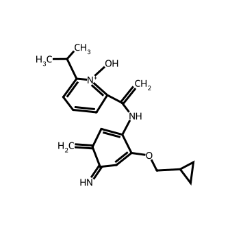 C=C1C=C(NC(=C)c2cccc(C(C)C)[n+]2O)C(OCC2CC2)=CC1=N